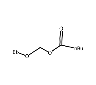 CCCCC(=O)OCOCC